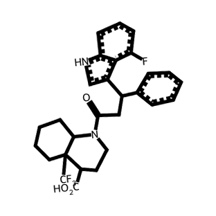 O=C(O)C1CCN(C(=O)CC(c2ccccc2)c2c[nH]c3cccc(F)c23)C2CCCCC12C(F)(F)F